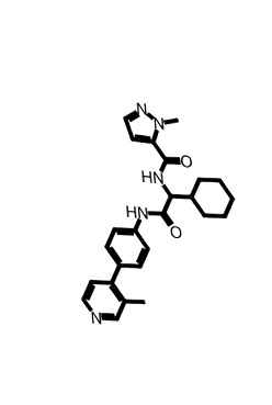 Cc1cnccc1-c1ccc(NC(=O)C(NC(=O)c2ccnn2C)C2CCCCC2)cc1